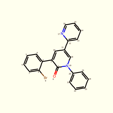 O=c1c(-c2ccccc2Br)cc(-c2ccccn2)cn1-c1ccccc1